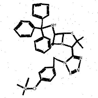 CC1(C)SC2C(NC(c3ccccc3)(c3ccccc3)c3ccccc3)C(=O)N2C1c1nnnn1Cc1ccc(O[Si](C)(C)C)cc1